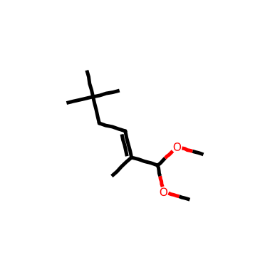 COC(OC)/C(C)=C/CC(C)(C)C